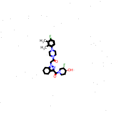 Cc1c(F)ccc(N2CCN(C(=O)Cn3nc(C(=O)N4CC[C@@H](O)[C@@H](F)C4)c4c3CCCC4)CC2)c1C